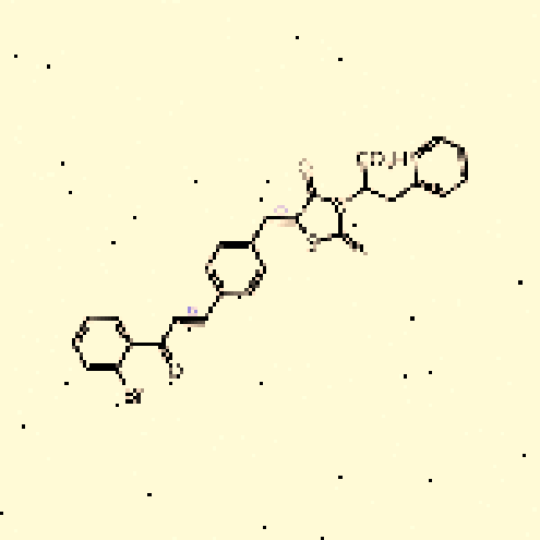 O=C(/C=C/c1ccc(/C=C2\SC(=S)N(C(Cc3ccccc3)C(=O)O)C2=O)cc1)c1ccccc1Br